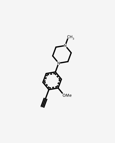 [C]#Cc1ccc(N2CCN(C)CC2)cc1OC